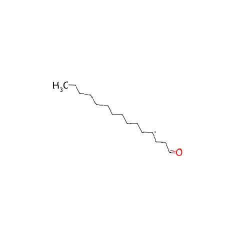 CCCCCCCCCCC[CH]CCC=O